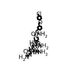 NN=NC1=C(Cl)N=C(C(=O)NC2NC3(CCN(C(=O)N(N)Cc4cccc(COc5ccc(Cl)cc5)c4)CC3)CN2N)C(N=NN)N1